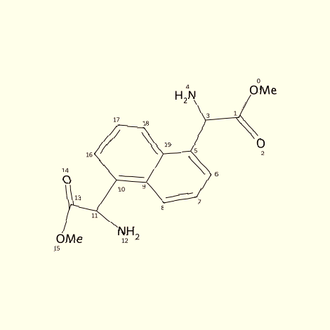 COC(=O)C(N)c1cccc2c(C(N)C(=O)OC)cccc12